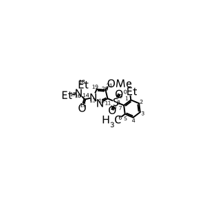 CCc1cccc(C)c1S(=O)(=O)c1nn(C(=O)N(CC)CC)cc1OC